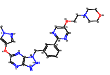 Cn1cc(Oc2cnc3c(n2)N(Cc2cccc(-c4ncc(OCCN5CCOCC5)cn4)c2)NN3)cn1